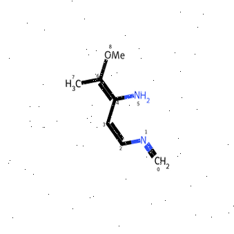 C=N/C=C\C(N)=C(/C)OC